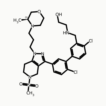 C[C@H]1COCCN1CCCn1nc(-c2ccc(Cl)c(-c3ccc(Cl)c(CNCCO)c3)c2)c2c1CCN(S(C)(=O)=O)C2